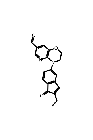 CCC1=Cc2cc(N3CCOc4cc(C=O)cnc43)ccc2C1=O